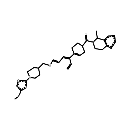 C=C/C(=C\C=C\OCC1CCN(c2nc(PC)no2)CC1)C1=CCC(C(=O)N2CCc3ccccc3C2C)CC1